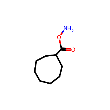 NOC(=O)C1CCCCCCC1